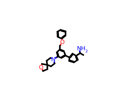 CC(N)c1cccc(-c2cc(COc3ccccc3)cc(N3CCC4(CCOC4)CC3)c2)c1